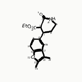 CCOC(=O)C1C(=O)NCCC1c1ccc2oc(C)c(C)c2c1